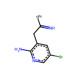 CCCC(=N)Cc1cc(Br)cnc1N